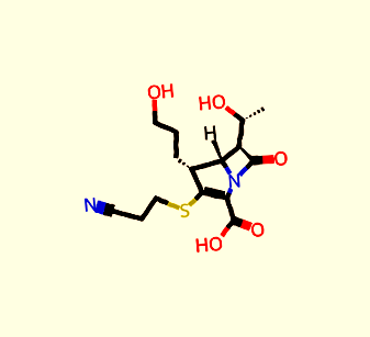 C[C@@H](O)[C@H]1C(=O)N2C(C(=O)O)=C(SCCC#N)[C@H](CCCO)[C@H]12